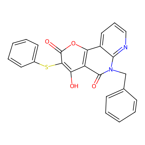 O=c1oc2c(c(O)c1Sc1ccccc1)c(=O)n(Cc1ccccc1)c1ncccc21